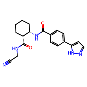 N#CCNC(=O)[C@@H]1CCCC[C@@H]1NC(=O)c1ccc(-c2ccn[nH]2)cc1